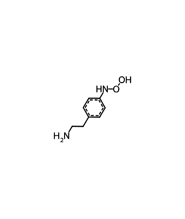 NCCc1ccc(NOO)cc1